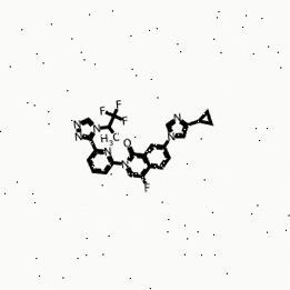 CC(n1cnnc1-c1cccc(-n2cc(F)c3ccc(-n4cnc(C5CC5)c4)cc3c2=O)n1)C(F)(F)F